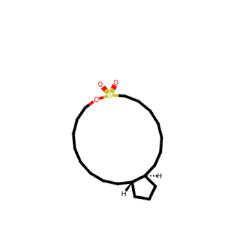 O=S1(=O)CCCCCCC[C@H]2CCC[C@@H]2CCCCCCCCO1